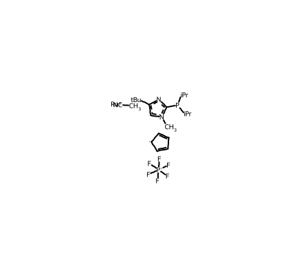 CC#N.CC(C)P(c1nc(C(C)(C)C)cn1C)C(C)C.F[P-](F)(F)(F)(F)F.[CH]1C=CC=C1.[Ru+]